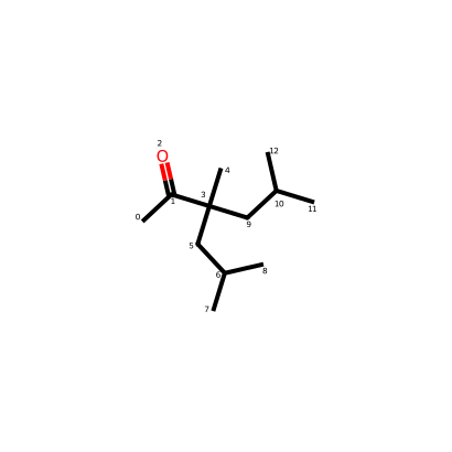 CC(=O)C(C)(CC(C)C)CC(C)C